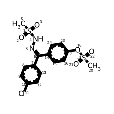 CS(=O)(=O)NN=C(c1ccc(Cl)cc1)c1ccc(OS(C)(=O)=O)cc1